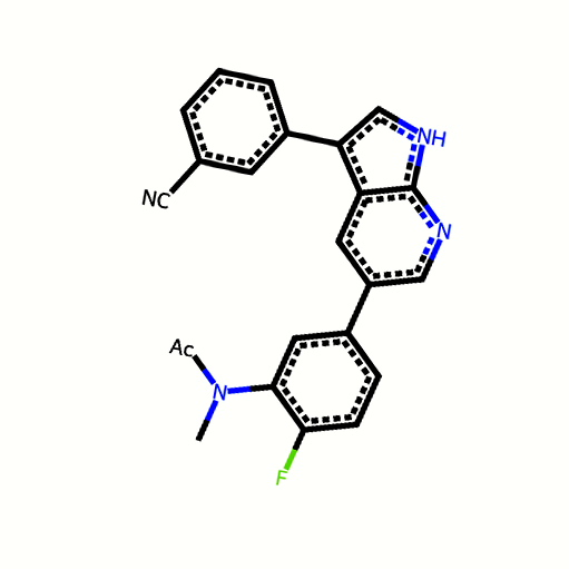 CC(=O)N(C)c1cc(-c2cnc3[nH]cc(-c4cccc(C#N)c4)c3c2)ccc1F